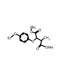 CCOc1ccc(OC(C(=O)OC(C)(C)C)C(C)C(=O)OC)cc1